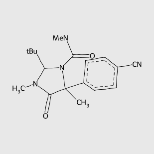 CNC(=O)N1C(C(C)(C)C)N(C)C(=O)C1(C)c1ccc(C#N)cc1